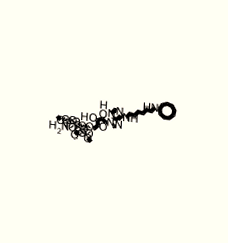 COOP(N)(=O)OP(=O)(OOC)OP(=O)(OCC1OC(n2cnc3c(NCCCCCCNC4CCCCCCCC4)ncnc32)C(O)C1O)OOC